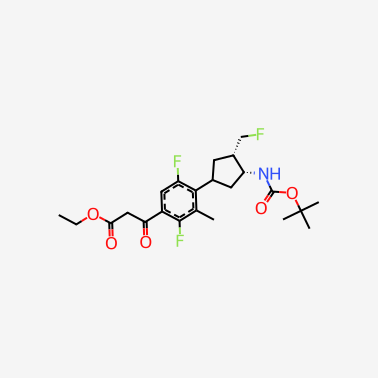 CCOC(=O)CC(=O)c1cc(F)c(C2C[C@H](CF)[C@H](NC(=O)OC(C)(C)C)C2)c(C)c1F